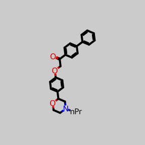 CCCN1CCOC(c2ccc(OCC(=O)c3ccc(-c4ccccc4)cc3)cc2)C1